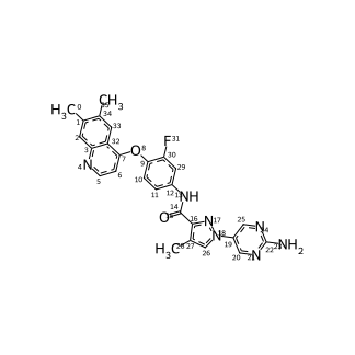 Cc1cc2nccc(Oc3ccc(NC(=O)c4nn(-c5cnc(N)nc5)cc4C)cc3F)c2cc1C